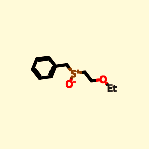 CCOCC[S+]([O-])Cc1ccccc1